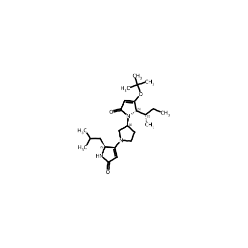 CC[C@H](C)[C@H]1C(OC(C)(C)C)=CC(=O)N1[C@H]1CCN(C2=CC(=O)N[C@H]2CC(C)C)C1